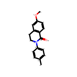 COc1ccc2c(c1)CCN(c1ccc(C)cc1)C2=O